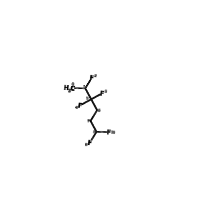 CC(F)C(F)(F)CCC(F)F